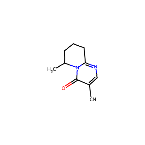 CC1CCCc2ncc(C#N)c(=O)n21